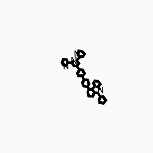 c1ccc(-c2nc3ccccc3c3c(-c4ccc(-c5ccc(-c6cc(-c7ccccn7)nc(-c7ccccn7)c6)cc5)cc4)cccc23)cc1